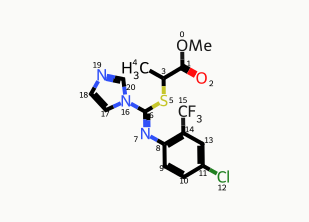 COC(=O)C(C)SC(=Nc1ccc(Cl)cc1C(F)(F)F)n1ccnc1